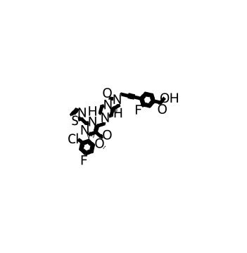 COC(=O)C1=C(CN2CCN3C(=O)N(CC#Cc4ccc(C(=O)O)cc4F)C[C@@H]3C2)NC(c2nccs2)=N[C@H]1c1ccc(F)cc1Cl